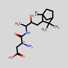 CC(NC(=O)[C@@H](N)CC(=O)O)C(O)CC1C2(C)CCC(C2)C1(C)C